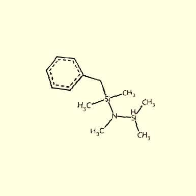 CN([SiH](C)C)[Si](C)(C)Cc1ccccc1